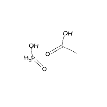 CC(=O)O.O=[PH2]O